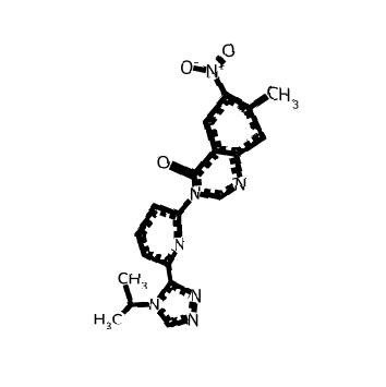 Cc1cc2ncn(-c3cccc(-c4nncn4C(C)C)n3)c(=O)c2cc1[N+](=O)[O-]